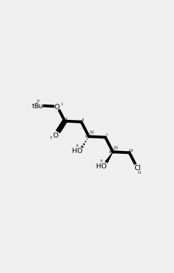 CC(C)(C)OC(=O)C[C@@H](O)C[C@H](O)CCl